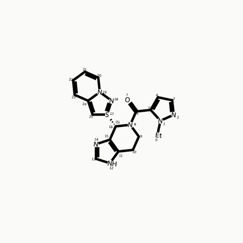 CCn1nccc1C(=O)N1CCc2[nH]cnc2[C@@H]1S1=NN2C=CC=CC2=C1